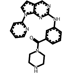 O=C(c1cccc(Nc2ncc3ccn(-c4ccccn4)c3n2)c1)N1CCNCC1